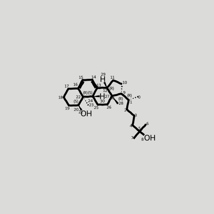 C[C@H](CCCC(C)(C)O)[C@H]1CC[C@H]2C3=CC=C4CCC[C@H](O)[C@]4(C)[C@H]3CC[C@@]12C